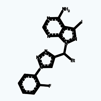 CCC(c1cn(-c2ccccc2F)nn1)n1nc(I)c2c(N)ncnc21